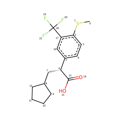 CSc1ccc([C@@H](CC2CCCC2)C(=O)O)cc1C(F)(F)F